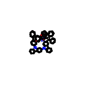 c1ccc(-c2ccc(-n3c4ccccc4c4ccc(-n5c6ccccc6c6cc([Si](c7ccccc7)(c7ccccc7)c7ccccc7)c(-n7c8ccccc8c8ccccc87)cc65)cc43)cc2)cc1